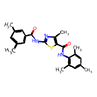 Cc1cc(C)cc(C(=O)Nc2nc(C)c(C(=O)Nc3c(C)cc(C)cc3C)s2)c1